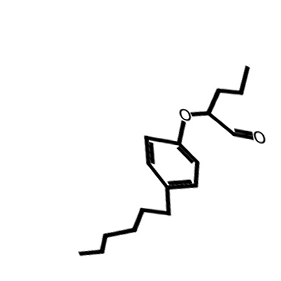 CCCCCCc1ccc(OC(C=O)CCC)cc1